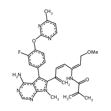 C=C(C)C(=O)NC(/C=C\C(=C)c1c(-c2ccc(Oc3nccc(C)n3)c(F)c2)c2c(N)ncnc2n1C)=C/COC